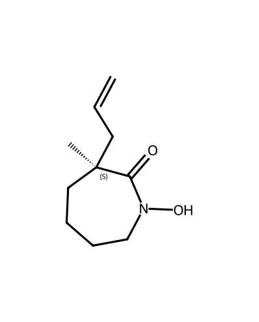 C=CC[C@]1(C)CCCCN(O)C1=O